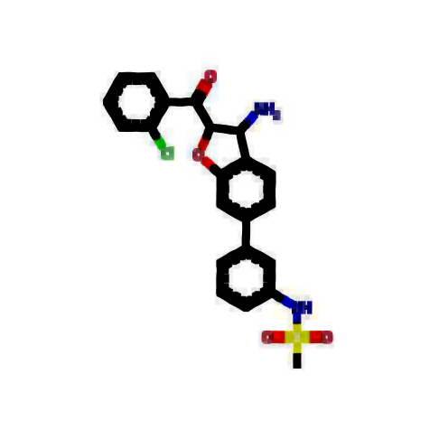 CS(=O)(=O)Nc1cccc(-c2ccc3c(c2)OC(C(=O)c2ccccc2Cl)C3N)c1